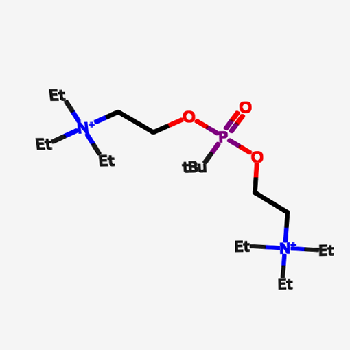 CC[N+](CC)(CC)CCOP(=O)(OCC[N+](CC)(CC)CC)C(C)(C)C